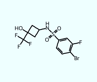 O=S(=O)(NC1CC(O)(C(F)(F)F)C1)c1ccc(Br)c(F)c1